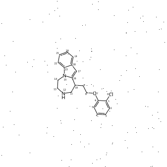 Clc1ccccc1OCCC1CNCCn2c1cc1ccccc12